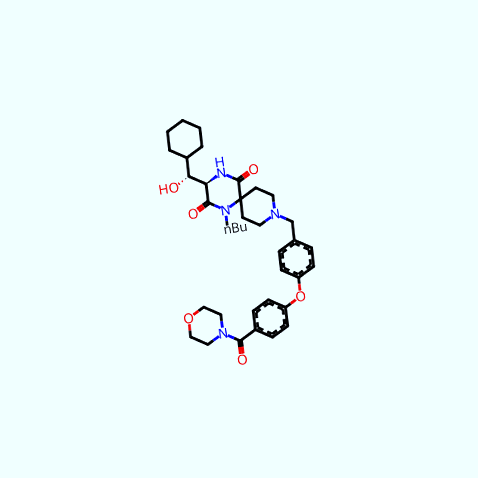 CCCCN1C(=O)[C@@H]([C@H](O)C2CCCCC2)NC(=O)C12CCN(Cc1ccc(Oc3ccc(C(=O)N4CCOCC4)cc3)cc1)CC2